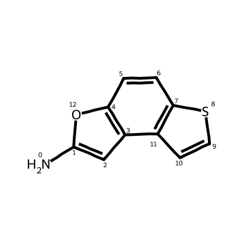 Nc1cc2c(ccc3sccc32)o1